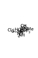 CNC(=O)[C@H]1[C@H](C)C[C@](O)(n2cnc3c(NC4CC4)nc(C#Cc4ccc(Cl)s4)nc32)[C@@]1(C)O